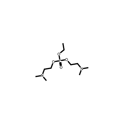 CCOP(=O)(OCCN(C)C)OCCN(C)C